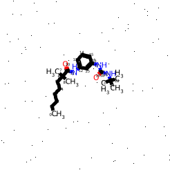 CCCCCCC(C)(C)C(=O)Nc1cccc(NC(=O)NC(C)(C)C)c1